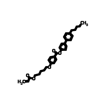 C=CC(=O)OCCCCCOc1ccc(C(=O)Oc2ccc(-c3ccc(CCCCC)cc3)cc2)cc1